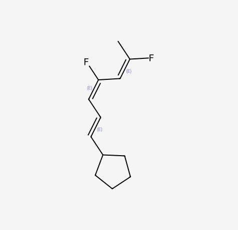 C\C(F)=C/C(F)=C\C=C\C1CCCC1